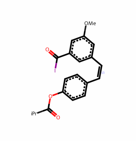 COc1cc(/C=C\c2ccc(OC(=O)C(C)C)cc2)cc(C(=O)I)c1